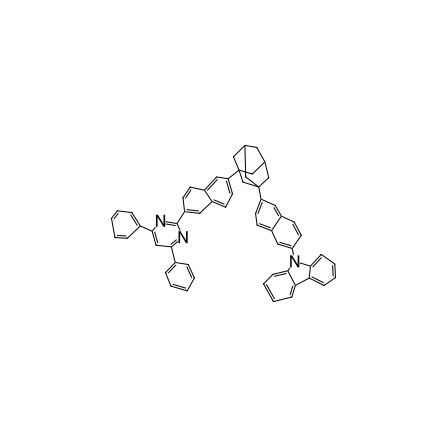 c1ccc(-c2cc(-c3ccccc3)nc(-c3ccc4cc(C56CC7CC(C5)CC(c5ccc8cc(-n9c%10ccccc%10c%10ccccc%109)ccc8c5)(C7)C6)ccc4c3)n2)cc1